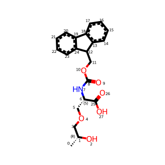 C[C@@H](O)COC[C@H](NC(=O)OCC1c2ccccc2-c2ccccc21)C(=O)O